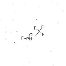 FPOCC(F)(F)F